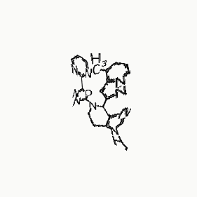 Cc1cccn2nc(C3c4nc[nH]c4CCN3c3nnc(-c4ncccn4)o3)cc12